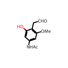 COc1cc(NC(C)=O)cc(O)c1CC=O